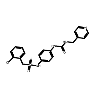 O=C(NCc1ccncc1)Nc1ccc(NS(=O)(=O)Cc2ccccc2Cl)cc1